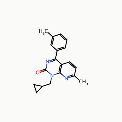 Cc1cccc(-c2nc(=O)n(CC3CC3)c3nc(C)ccc23)c1